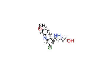 COc1ccc2cc3c(C(N)CCCCO)cc(Cl)cc3nc2c1